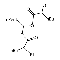 CCCCCC(OC(=O)C(CC)CCCC)OC(=O)C(CC)CCCC